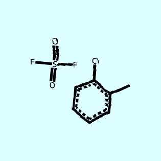 Cc1ccccc1Cl.O=S(=O)(F)F